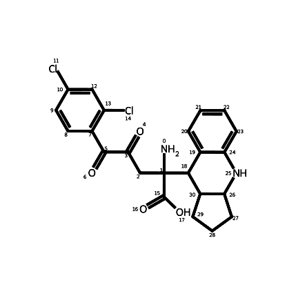 NC(CC(=O)C(=O)c1ccc(Cl)cc1Cl)(C(=O)O)C1c2ccccc2NC2CCCC21